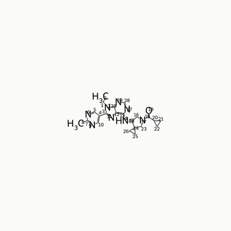 CCn1c(-c2cnc(C)nc2)nc2c(N[C@@H]3CN(C(=O)C4CC4)CC34CC4)ncnc21